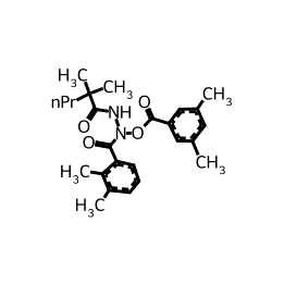 CCCC(C)(C)C(=O)NN(OC(=O)c1cc(C)cc(C)c1)C(=O)c1cccc(C)c1C